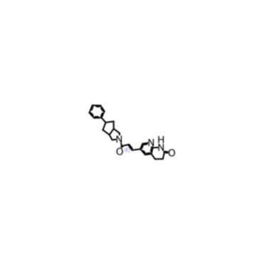 O=C1CCc2cc(/C=C/C(=O)N3CC4CC(c5ccccc5)CC4C3)cnc2N1